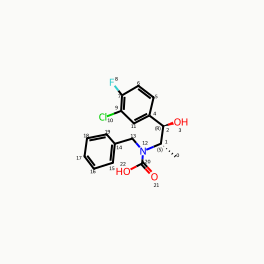 C[C@@H]([C@H](O)c1ccc(F)c(Cl)c1)N(Cc1ccccc1)C(=O)O